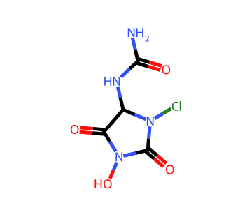 NC(=O)NC1C(=O)N(O)C(=O)N1Cl